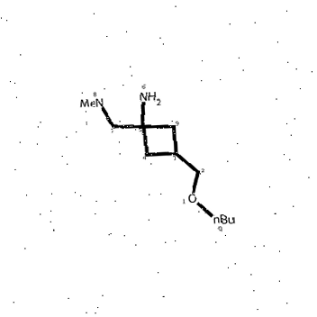 CCCCOCC1CC(N)(CNC)C1